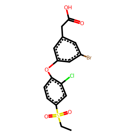 CCS(=O)(=O)c1ccc(Oc2cc(Br)cc(CC(=O)O)c2)c(Cl)c1